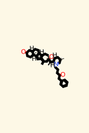 CC1=C2C[C@H]3[C@@H](CC[C@@H]4CC(=O)CC[C@@]43C)[C@@H]2CC[C@@]2(C1)O[C@@H]1C[C@H](C)CN(CCCC(=O)Cc3ccccc3)[C@H]1[C@H]2C